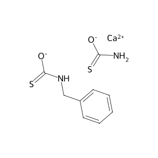 NC([O-])=S.[Ca+2].[O-]C(=S)NCc1ccccc1